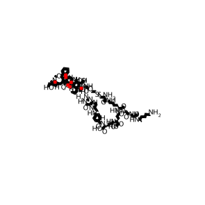 CC[C@]1(O)C[C@H]2CN(CCc3c([nH]c4ccccc34)[C@@](C(=O)OC)(c3cc4c(cc3OC)N(C)[C@H]3[C@](O)(C(=O)NNC(=O)OCCSSC[C@H](N)C(=O)NCCCC[C@H](NC(=O)CC[C@H](NC(=O)CC[C@H](NC(=O)c5ccc(NCc6cnc7nc(N)[nH]c(=O)c7n6)cc5)C(=O)O)C(=O)O)C(=O)NCC(=O)NCC(=O)N[C@H](C)CCCCN)[C@H](O)[C@]5(CC)C=CCN6CC[C@]43[C@@H]65)C2)C1